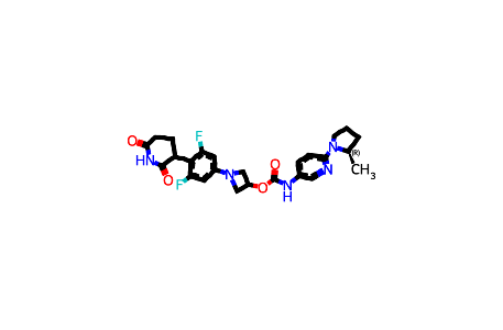 C[C@@H]1CCCN1c1ccc(NC(=O)OC2CN(c3cc(F)c(C4CCC(=O)NC4=O)c(F)c3)C2)cn1